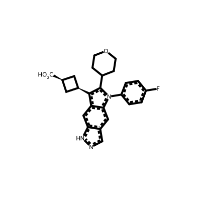 O=C(O)[C@H]1C[C@@H](c2c(C3CCOCC3)n(-c3ccc(F)cc3)c3cc4cn[nH]c4cc32)C1